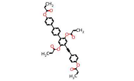 C=CC(=O)Oc1ccc(C#Cc2cc(OC(=O)C=C)c(-c3ccc(-c4ccc(OC(=O)C=C)cc4)cc3)cc2OC(=O)C=C)cc1